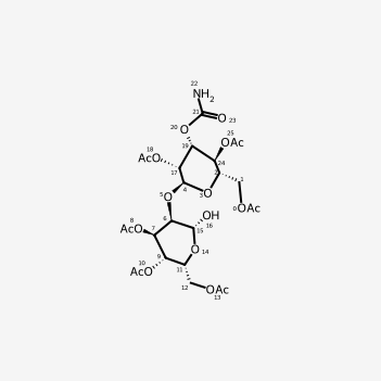 CC(=O)OC[C@@H]1O[C@@H](O[C@@H]2[C@H](OC(C)=O)[C@@H](OC(C)=O)[C@@H](COC(C)=O)O[C@H]2O)[C@H](OC(C)=O)[C@H](OC(N)=O)[C@H]1OC(C)=O